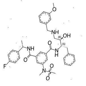 COc1cccc(CNC[C@@H](O)[C@H](Cc2ccccc2)NC(=O)c2cc(C(=O)NC(C)c3ccc(F)cc3)cc(N(C)S(C)(=O)=O)c2)c1